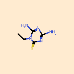 CCn1c(N)nc(N)nc1=S